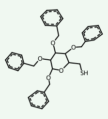 SCC1OC(OCc2ccccc2)C(OCc2ccccc2)C(OCc2ccccc2)C1OCc1ccccc1